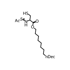 CCCCCCCCCCCCCCCCCCOC(=O)C(CS)N[Se]C(C)=O